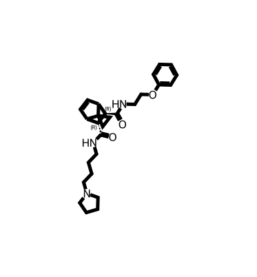 O=C(NCCCCN1CCCC1)[C@@H]1C2C=CC([C@H]1C(=O)NCCOc1ccccc1)C21CC1